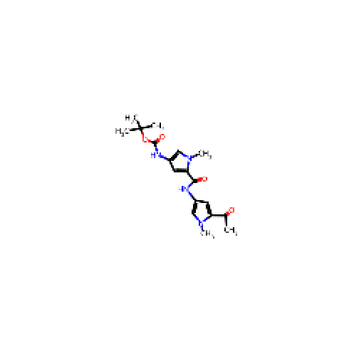 CC(=O)c1cc(NC(=O)c2cc(NC(=O)OC(C)(C)C)cn2C)cn1C